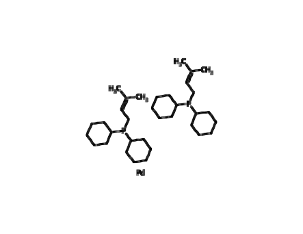 CC(C)=CCP(C1CCCCC1)C1CCCCC1.CC(C)=CCP(C1CCCCC1)C1CCCCC1.[Pd]